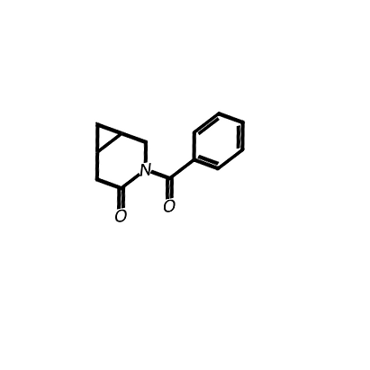 O=C1CC2CC2CN1C(=O)c1ccccc1